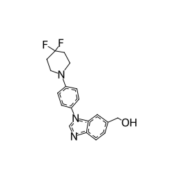 OCc1ccc2ncn(-c3ccc(N4CCC(F)(F)CC4)cc3)c2c1